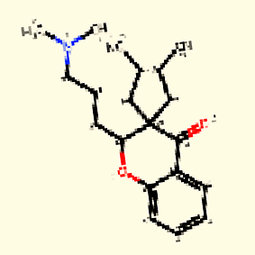 CN(C)CCCC1Oc2ccccc2C(=O)C1(CCC#N)CCC#N